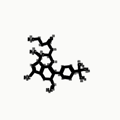 C=NC1Cc2c(C)nn(CC)c2C(OC(C)OC(=O)SCC)=C1c1ccc(C(C)(C)C)cc1